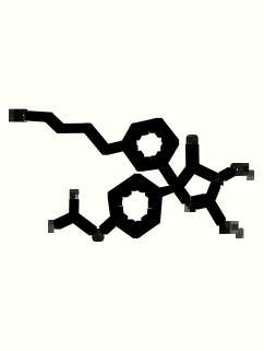 CN1C(=O)[C@@](c2ccc(OC(F)F)cc2)(c2cccc(CCCCC#N)c2)N=C1N